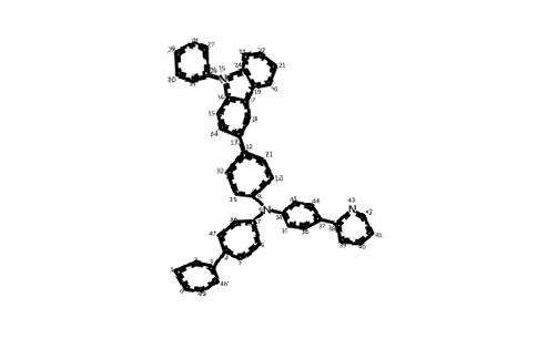 c1ccc(-c2ccc(N(c3ccc(-c4ccc5c(c4)c4ccccc4n5-c4ccccc4)cc3)c3ccc(-c4ccccn4)cc3)cc2)cc1